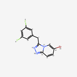 Fc1cc(F)cc(Cc2nnc3ccc(Br)cn23)c1